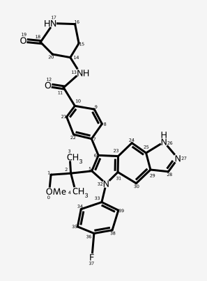 COCC(C)(C)c1c(-c2ccc(C(=O)NC3CCNC(=O)C3)cc2)c2cc3[nH]ncc3cc2n1-c1ccc(F)cc1